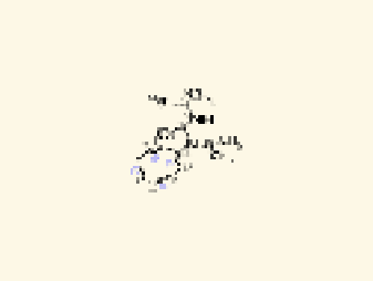 CC(C)NC1OC2=C/C=C\C=C/C=C\2N1C(C)C